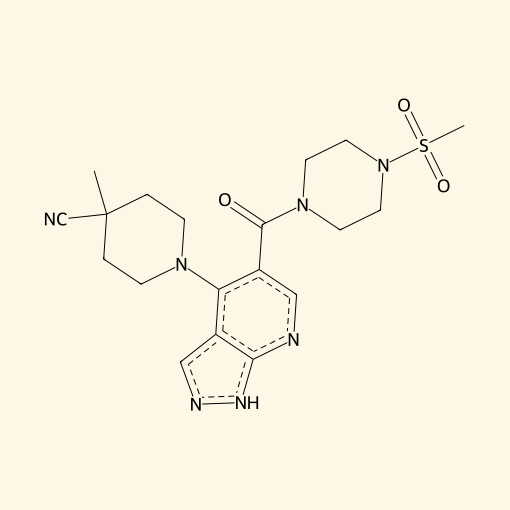 CC1(C#N)CCN(c2c(C(=O)N3CCN(S(C)(=O)=O)CC3)cnc3[nH]ncc23)CC1